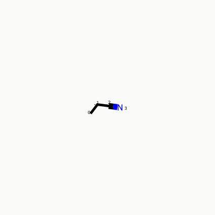 C[CH]C#N